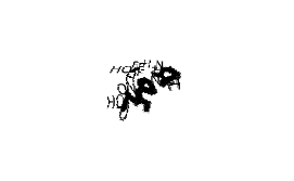 CCc1cc(C(=O)O)c(=O)[nH]c1-c1ccc(N2C[C@H]3CCC[C@@H](N)[C@H]3C2)cc1.O=C(O)C(F)(F)F